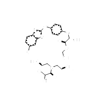 C=CCN(CC=C)C(=O)C(Cl)Cl.CCOC(=O)[C@@H](C)Oc1ccc(Oc2nc3ccc(Cl)cc3o2)cc1